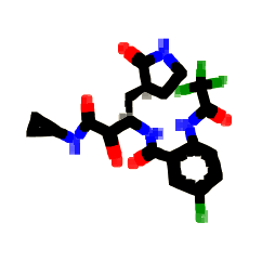 O=C(NC1CC1)C(=O)[C@H](C[C@@H]1CCNC1=O)NC(=O)c1cc(Cl)ccc1NC(=O)C(F)(F)F